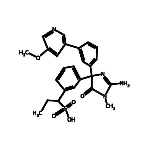 CCC(c1cccc(C2(c3cccc(-c4cncc(OC)c4)c3)N=C(N)N(C)C2=O)c1)S(=O)(=O)O